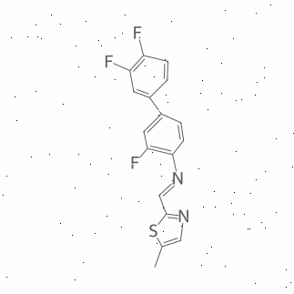 Cc1cnc(/C=N/c2ccc(-c3ccc(F)c(F)c3)cc2F)s1